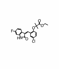 CCOC(=O)C(C)(C)Oc1ccc(Cl)cc1C=C1C(=O)Nc2cc(F)ccc21